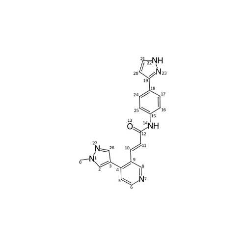 Cn1cc(-c2ccncc2C=CC(=O)Nc2ccc(-c3cc[nH]n3)cc2)cn1